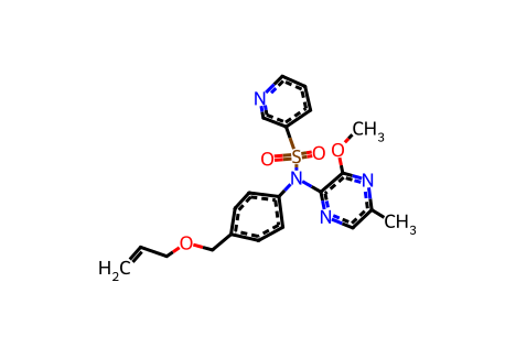 C=CCOCc1ccc(N(c2ncc(C)nc2OC)S(=O)(=O)c2cccnc2)cc1